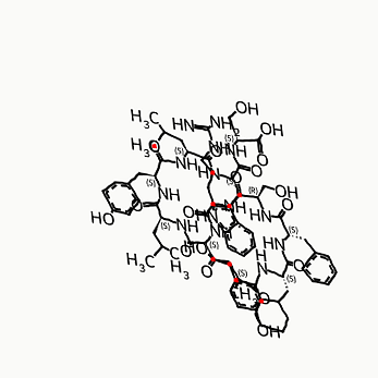 CC(C)C[C@H](NC(=O)[C@H](CCc1ccc(O)cc1)NC(=O)C(CCCNC(=N)N)NC(=O)[C@@H](CO)NC(=O)[C@H](Cc1ccccc1)NC(=O)[C@H](CC1CCCCC1)NC(=O)[C@@H](C)CC(=O)O)C(=O)N[C@@H](Cc1ccc(O)cc1)C(=O)N[C@@H](CC(C)C)C(=O)N[C@@H](Cc1c[nH]c2ccccc12)C(=O)N[C@@H](CO)C(=O)O